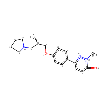 C[C@@H](COc1ccc(-c2ccc(=O)n(C)n2)cc1)CN1CCCC1